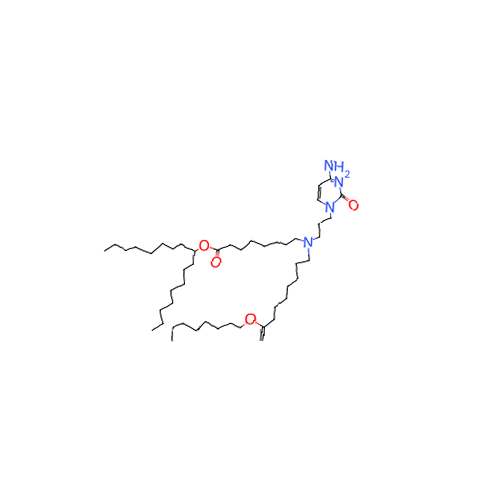 C=C(CCCCCCCN(CCCCCCCC(=O)OC(CCCCCCCC)CCCCCCCC)CCCn1ccc(N)nc1=O)OCCCCCCCC